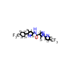 Cc1cc(NC(=O)c2cnn(-c3ccc(C(F)(F)F)cn3)c2C)cnc1C1=CCC(C(F)(F)F)CC1